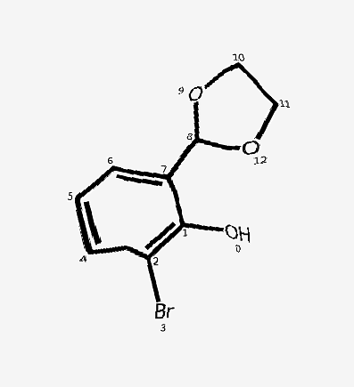 Oc1c(Br)cccc1C1OCCO1